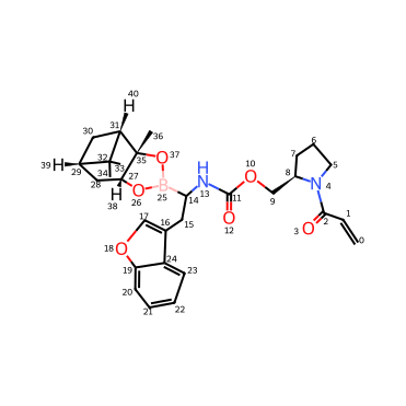 C=CC(=O)N1CCC[C@@H]1COC(=O)NC(Cc1coc2ccccc12)B1O[C@@H]2C[C@@H]3C[C@@H](C3(C)C)[C@]2(C)O1